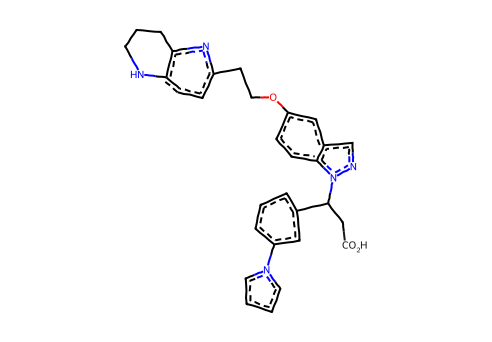 O=C(O)CC(c1cccc(-n2cccc2)c1)n1ncc2cc(OCCc3ccc4c(n3)CCCN4)ccc21